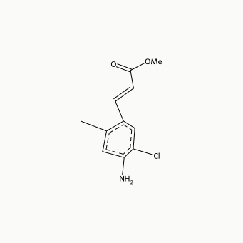 COC(=O)C=Cc1cc(Cl)c(N)cc1C